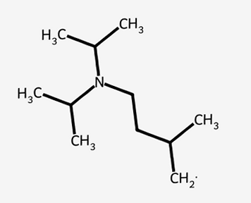 [CH2]C(C)CCN(C(C)C)C(C)C